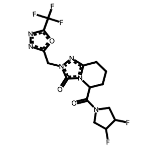 O=C(C1CCCc2nn(Cc3nnc(C(F)(F)F)o3)c(=O)n21)N1CC(F)C(F)C1